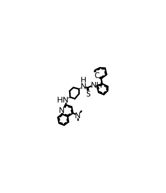 CN(C)c1cc(N[C@H]2CC[C@@H](NC(=S)Nc3ccccc3-c3ccccc3)CC2)nc2ccccc12